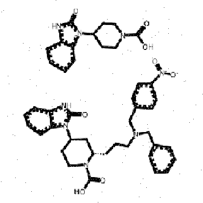 O=C(O)N1CCC(n2c(=O)[nH]c3ccccc32)CC1.O=C(O)N1CCC(n2c(=O)[nH]c3ccccc32)C[C@@H]1CCCN(Cc1ccccc1)Cc1ccc([N+](=O)[O-])cc1